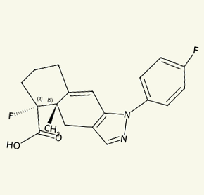 C[C@]12Cc3cnn(-c4ccc(F)cc4)c3C=C1CCC[C@]2(F)C(=O)O